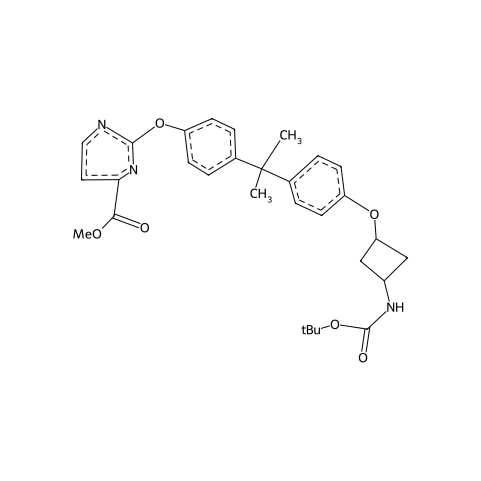 COC(=O)c1ccnc(Oc2ccc(C(C)(C)c3ccc(OC4CC(NC(=O)OC(C)(C)C)C4)cc3)cc2)n1